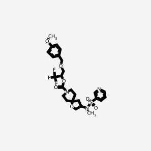 COc1ccc(COCC(OC(=O)N2CCC3(CC2)CC(N(C)S(=O)(=O)c2cccnc2)CO3)C(F)(F)F)cc1